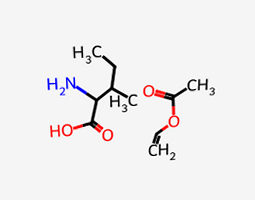 C=COC(C)=O.CCC(C)C(N)C(=O)O